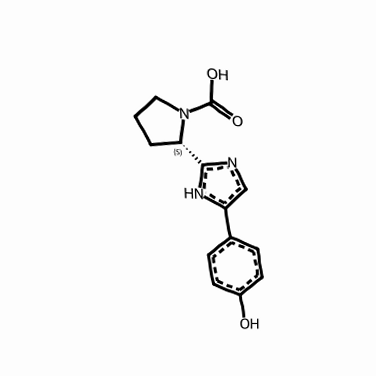 O=C(O)N1CCC[C@H]1c1ncc(-c2ccc(O)cc2)[nH]1